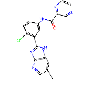 Cc1cnc2nc(-c3cc(NC(=O)c4cnccn4)ccc3Cl)[nH]c2c1